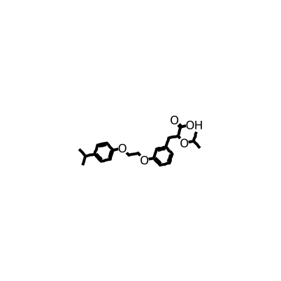 CC(C)OC(Cc1cccc(OCCOc2ccc(C(C)C)cc2)c1)C(=O)O